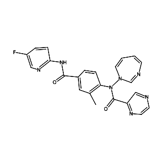 Cc1cc(C(=O)Nc2ccc(F)cn2)ccc1N(C(=O)c1cnccn1)N1C=CC=CN=C1